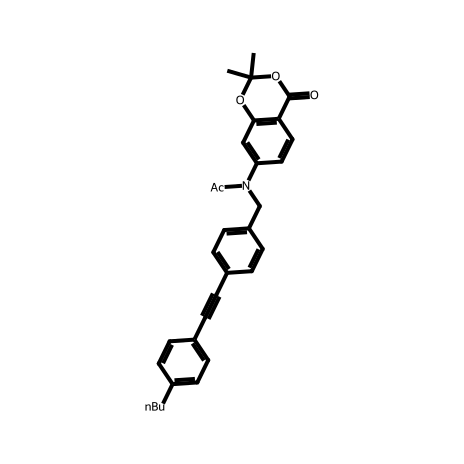 CCCCc1ccc(C#Cc2ccc(CN(C(C)=O)c3ccc4c(c3)OC(C)(C)OC4=O)cc2)cc1